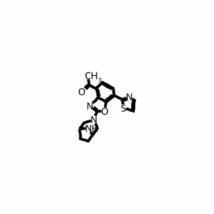 CC(=O)c1ccc(-c2nccs2)c2oc(N3CC4CCC(C3)N4)nc12